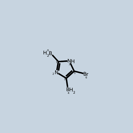 Bc1nc(B)c(Br)[nH]1